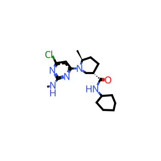 CNc1nc(Cl)cc(N2C[C@@H](C(=O)NC3CCCCC3)CC[C@@H]2C)n1